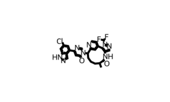 CC1CCCC(n2cnc(-c3cc(Cl)cc4[nH]ncc34)cc2=O)c2cc(ccn2)-c2c(cnn2C(F)F)NC1=O